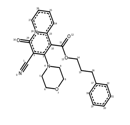 N#Cc1c(N2CCOCC2)c(C(=O)OCCCc2ccccc2)c2ccccn2c1=O